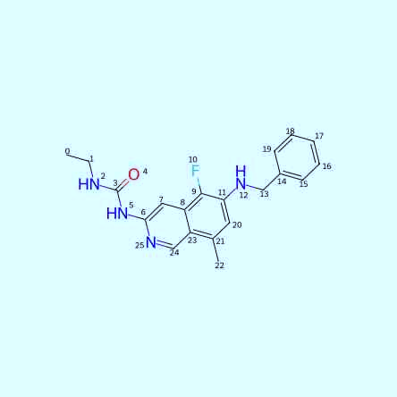 CCNC(=O)Nc1cc2c(F)c(NCc3ccccc3)cc(C)c2cn1